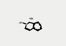 Br.CCCN1C=Cc2ccccc2C1